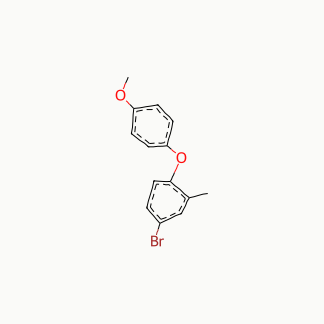 COc1ccc(Oc2ccc(Br)cc2C)cc1